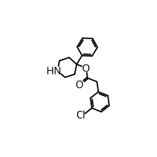 O=C(Cc1cccc(Cl)c1)OC1(c2ccccc2)CCNCC1